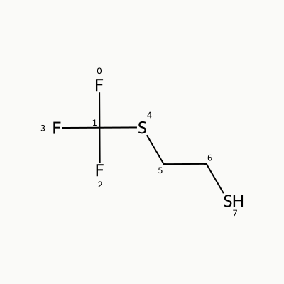 FC(F)(F)SCCS